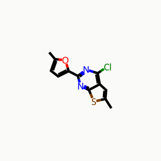 Cc1ccc(-c2nc(Cl)c3cc(C)sc3n2)o1